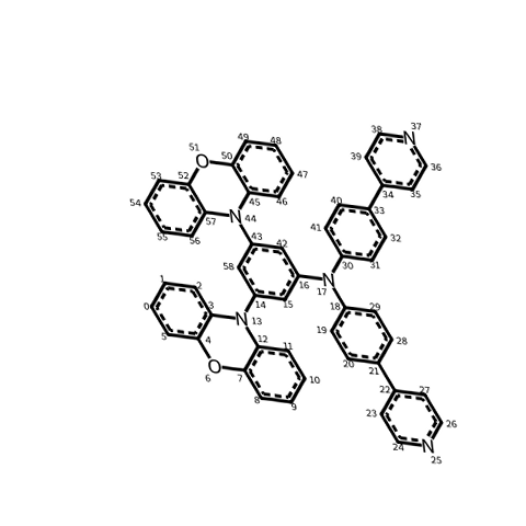 c1ccc2c(c1)Oc1ccccc1N2c1cc(N(c2ccc(-c3ccncc3)cc2)c2ccc(-c3ccncc3)cc2)cc(N2c3ccccc3Oc3ccccc32)c1